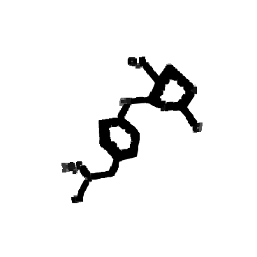 CC(C)(C)N(Cc1ccc(Nc2nc(Cl)ncc2[N+](=O)[O-])cc1)C(=O)O